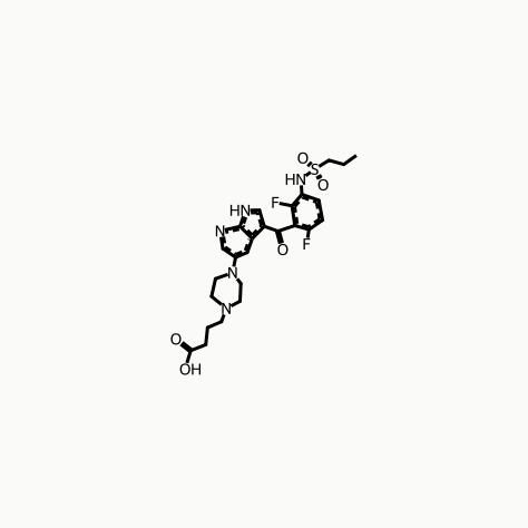 CCCS(=O)(=O)Nc1ccc(F)c(C(=O)c2c[nH]c3ncc(N4CCN(CCCC(=O)O)CC4)cc23)c1F